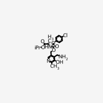 Cc1ncc(COP(=O)(N[C@@H](C)C(=O)OC(C)C)Oc2ccc(Cl)cc2)c(CN)c1O